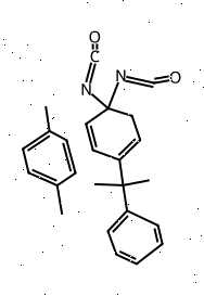 CC(C)(C1=CCC(N=C=O)(N=C=O)C=C1)c1ccccc1.Cc1ccc(C)cc1